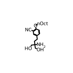 CCCCCCCCOc1ccc(CCC(N)(CO)CO)cc1C#N